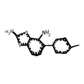 Cc1ccc(-c2ccc3sc(N)nc3c2N)cc1